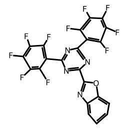 Fc1c(F)c(F)c(-c2nc(-c3nc4ccccc4o3)nc(-c3c(F)c(F)c(F)c(F)c3F)n2)c(F)c1F